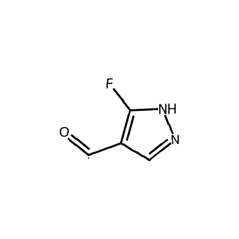 O=[C]c1cn[nH]c1F